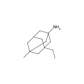 CCC12CC3CC(C)(CC(N)(C3)C1)C2